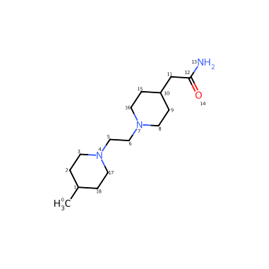 CC1CCN(CCN2CCC(CC(N)=O)CC2)CC1